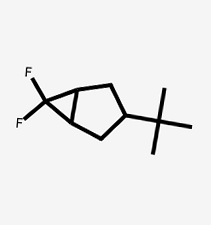 CC(C)(C)C1CC2C(C1)C2(F)F